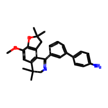 COc1cc2c(c3c1OC(C)(C)C3)C(c1cccc(-c3ccc(N)cc3)c1)=NCC2(C)C